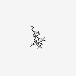 CC[CH][SiH2]O[Si](C)(C)C(C)[Si](O[Si](C)(C)C)(O[Si](C)(C)C)O[Si](C)(C)C